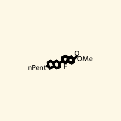 CCCCCC1CCC2CC(c3ccc4cc(C(=O)OC)ccc4c3F)CCC2C1